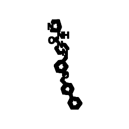 O=C(Nc1cccnc1)N1CCN(Cc2cccc(OCc3ccc(-c4ccccc4)cc3)c2)CC1